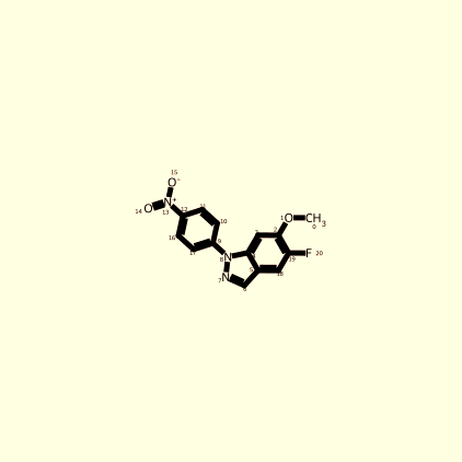 COc1cc2c(cnn2-c2ccc([N+](=O)[O-])cc2)cc1F